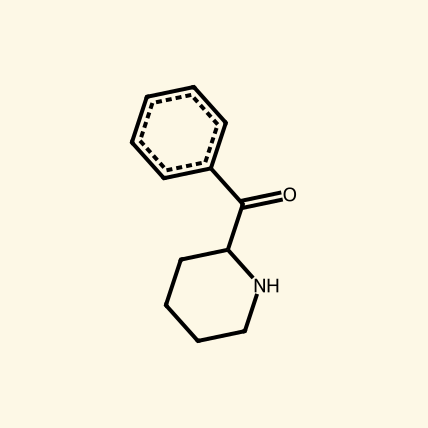 O=C(c1ccccc1)C1CCCCN1